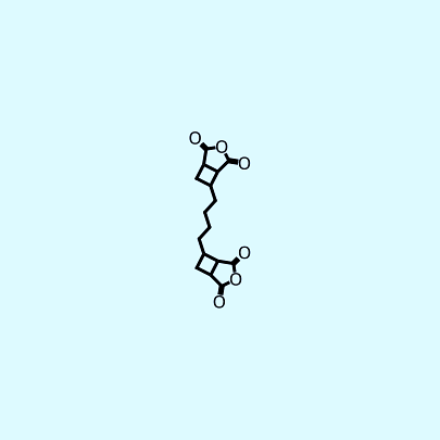 O=C1OC(=O)C2C(CCCCC3CC4C(=O)OC(=O)C34)CC12